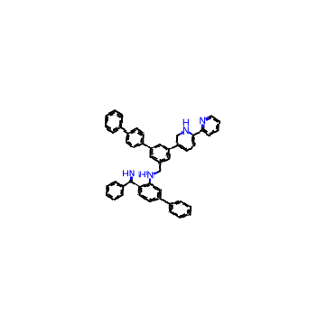 N=C(c1ccccc1)c1ccc(-c2ccccc2)cc1NCc1cc(C2=CC=C(c3ccccn3)NC2)cc(-c2ccc(-c3ccccc3)cc2)c1